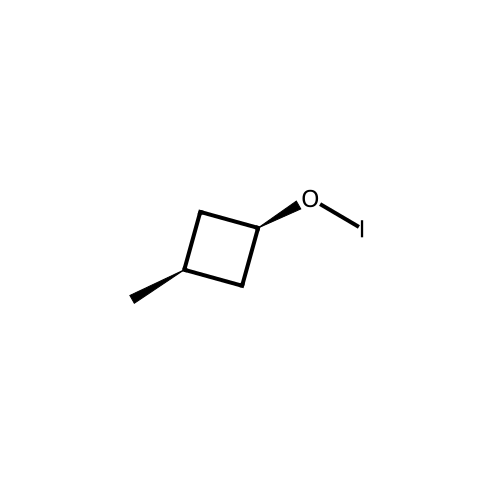 C[C@H]1C[C@@H](OI)C1